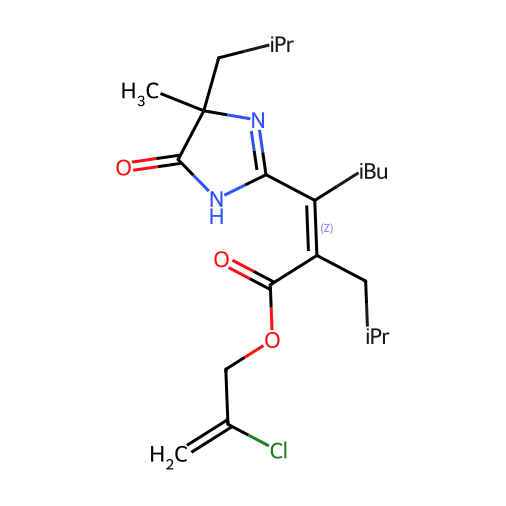 C=C(Cl)COC(=O)/C(CC(C)C)=C(\C1=NC(C)(CC(C)C)C(=O)N1)C(C)CC